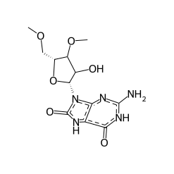 COC[C@H]1O[C@@H](n2c(=O)[nH]c3c(=O)[nH]c(N)nc32)C(O)C1OC